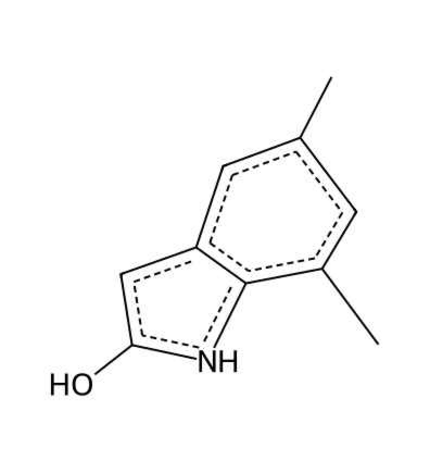 Cc1cc(C)c2[nH]c(O)cc2c1